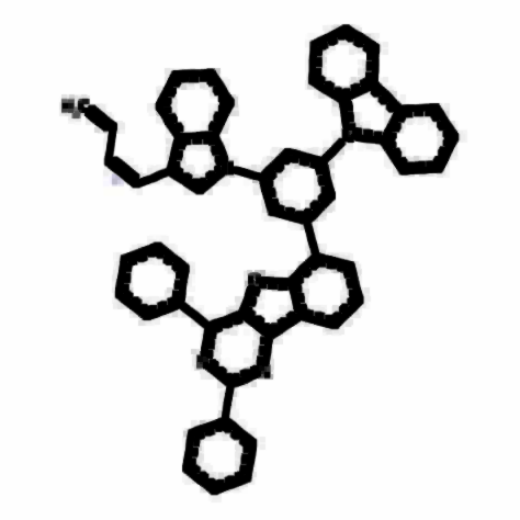 C=C/C=C\c1cn(-c2cc(-c3cccc4c3oc3c(-c5ccccc5)nc(-c5ccccc5)nc34)cc(-n3c4ccccc4c4ccccc43)c2)c2ccccc12